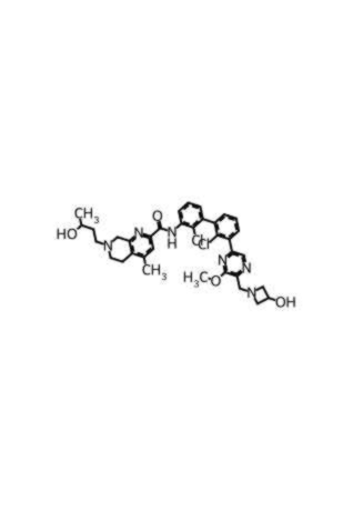 COc1nc(-c2cccc(-c3cccc(NC(=O)c4cc(C)c5c(n4)CN(CCC(C)O)CC5)c3Cl)c2Cl)cnc1CN1CC(O)C1